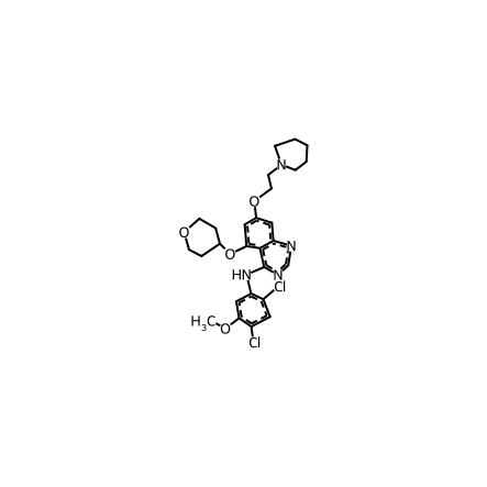 COc1cc(Nc2ncnc3cc(OCCN4CCCCC4)cc(OC4CCOCC4)c23)c(Cl)cc1Cl